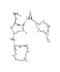 Nc1nc(Nc2ccccc2)sc1C(=O)c1ccc(Cl)s1